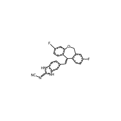 N#CN=c1[nH]c2ccc(C=C3c4ccc(F)cc4COc4cc(F)ccc43)cc2[nH]1